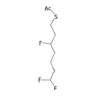 CC(=O)SCCC(F)CCCC(F)F